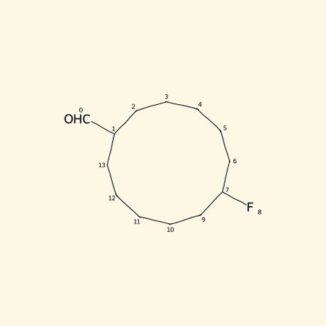 O=CC1CCCCCC(F)CCCCC1